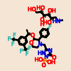 CNC[C@H](O)[C@@H](O)[C@H](O)[C@H](O)CO.C[C@@H](OC1OCCN(Cc2nc(=O)n(P(=O)(O)O)[nH]2)C1c1ccc(F)cc1)c1cc(C(F)(F)F)cc(C(F)(F)F)c1